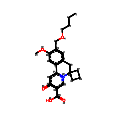 CCCCOCc1cc2c(cc1OC)-c1cc(=O)c(C(=O)O)cn1C1(CCC1)C2